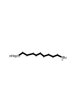 CCCCCCCCCCCCCCCCC(C)(C)C